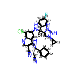 BC(Nc1cc(Cl)c2ncc(C#N)c(N[C@@H](CC#N)c3ccccc3)c2c1)(C1=CN(C2CC2)NN1)c1ccc(F)cc1